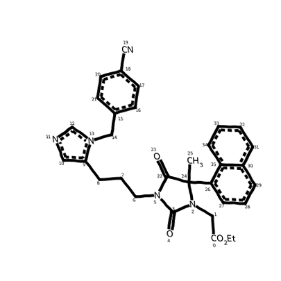 CCOC(=O)CN1C(=O)N(CCCc2cncn2Cc2ccc(C#N)cc2)C(=O)C1(C)c1cccc2ccccc12